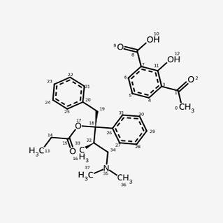 CC(=O)c1cccc(C(=O)O)c1O.CCC(=O)O[C@](Cc1ccccc1)(c1ccccc1)[C@H](C)CN(C)C